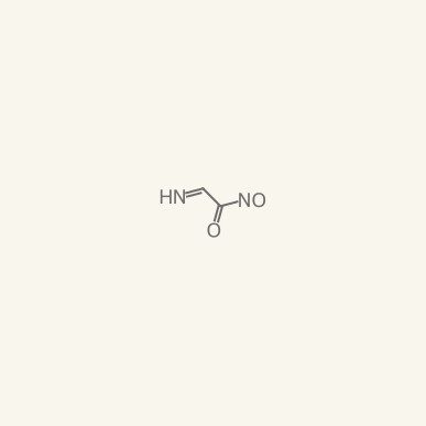 N=CC(=O)N=O